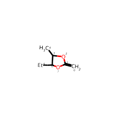 C=C1OC(C)C(CC)O1